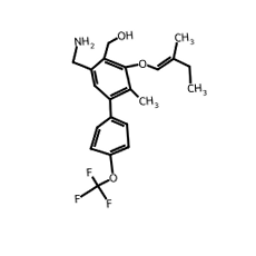 CC/C(C)=C/Oc1c(C)c(-c2ccc(OC(F)(F)F)cc2)cc(CN)c1CO